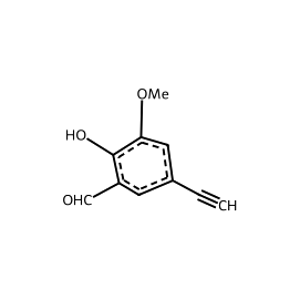 C#Cc1cc(C=O)c(O)c(OC)c1